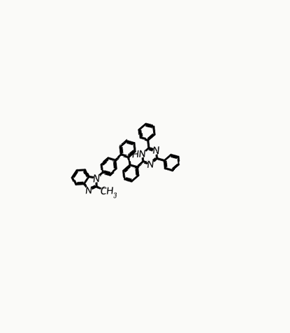 Cc1nc2ccccc2n1-c1ccc(-c2ccccc2-c2ccccc2C2N=C(c3ccccc3)N=C(c3ccccc3)N2)cc1